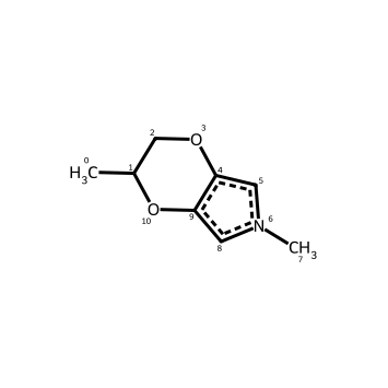 CC1COc2cn(C)cc2O1